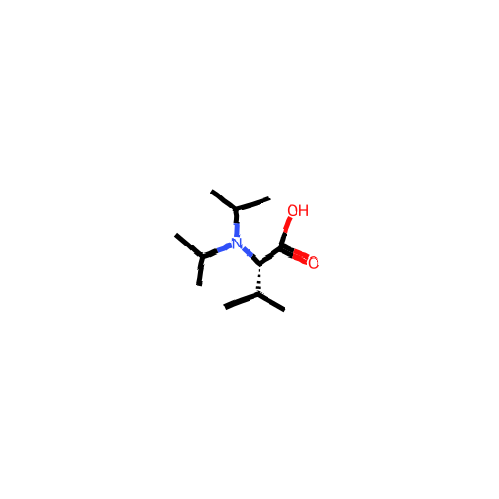 CC(C)[C@@H](C(=O)O)N(C(C)C)C(C)C